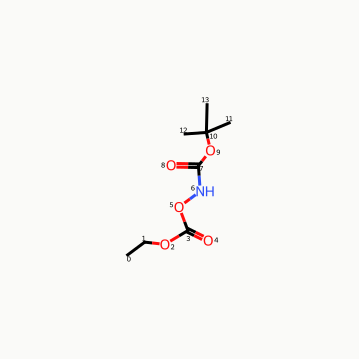 CCOC(=O)ONC(=O)OC(C)(C)C